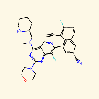 C#Cc1c(F)ccc2cc(C#N)cc(-c3ncc4c(N(C)C[C@@H]5CCCCN5)nc(N5CCOCC5)nc4c3F)c12